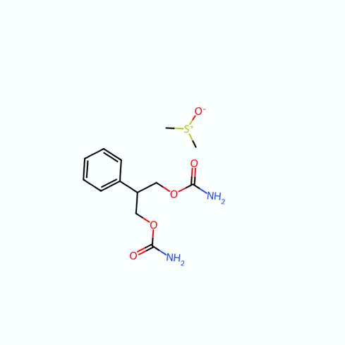 C[S+](C)[O-].NC(=O)OCC(COC(N)=O)c1ccccc1